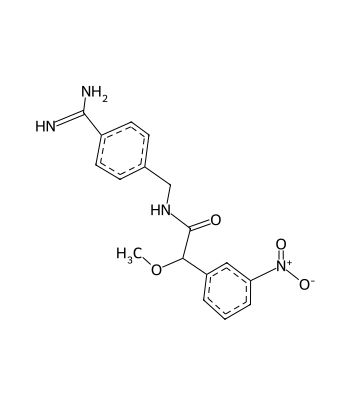 COC(C(=O)NCc1ccc(C(=N)N)cc1)c1cccc([N+](=O)[O-])c1